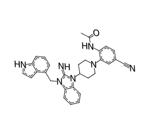 CC(=O)Nc1ccc(C#N)cc1N1CCC(n2c(=N)n(Cc3cccc4[nH]ccc34)c3ccccc32)CC1